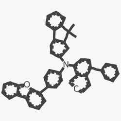 CC1(C)c2ccccc2-c2ccc(N(c3ccc(-c4cccc5c4oc4ccccc45)cc3)c3ccc(-c4ccccc4)c4ccccc34)cc21